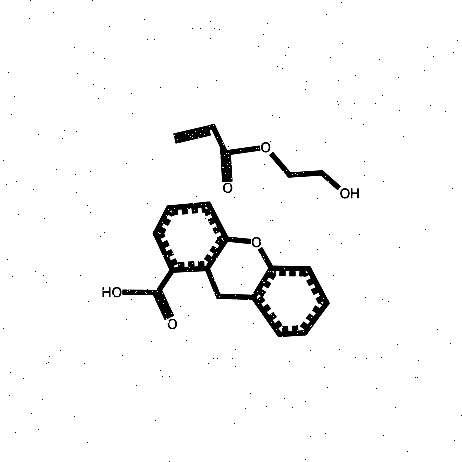 C=CC(=O)OCCO.O=C(O)c1cccc2c1Cc1ccccc1O2